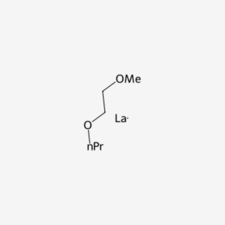 CCCOCCOC.[La]